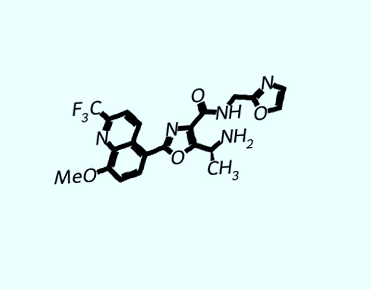 COc1ccc(-c2nc(C(=O)NCc3ncco3)c([C@H](C)N)o2)c2ccc(C(F)(F)F)nc12